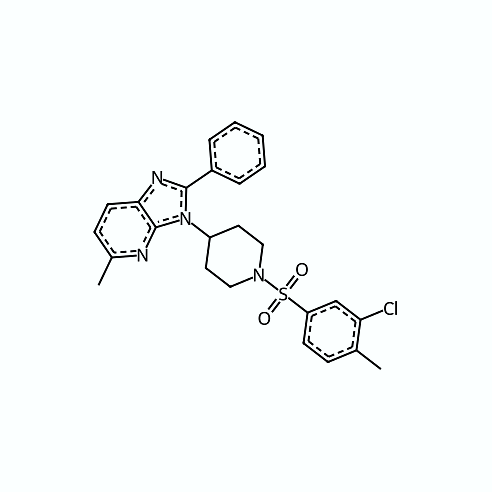 Cc1ccc2nc(-c3ccccc3)n(C3CCN(S(=O)(=O)c4ccc(C)c(Cl)c4)CC3)c2n1